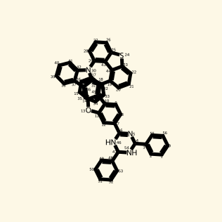 c1ccc(C2N=C(c3ccc4c(c3)oc3cccc(-c5cccc6sc7cccc(-n8c9ccccc9c9ccccc98)c7c56)c34)NC(c3ccccc3)N2)cc1